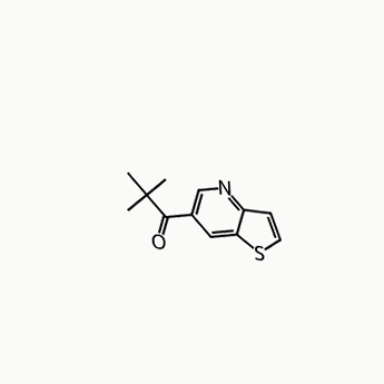 CC(C)(C)C(=O)c1cnc2ccsc2c1